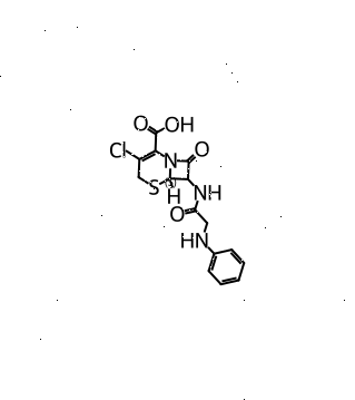 O=C(CNc1ccccc1)NC1C(=O)N2C(C(=O)O)=C(Cl)CS[C@@H]12